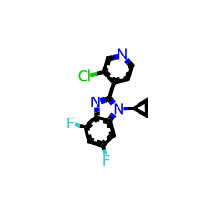 Fc1cc(F)c2nc(-c3ccncc3Cl)n(C3CC3)c2c1